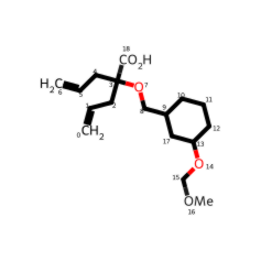 C=CCC(CC=C)(OCC1CCCC(OCOC)C1)C(=O)O